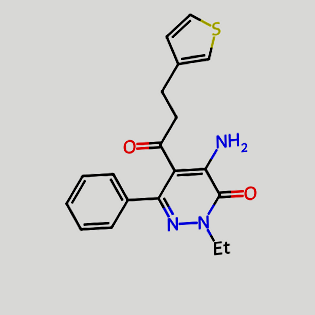 CCn1nc(-c2ccccc2)c(C(=O)CCc2ccsc2)c(N)c1=O